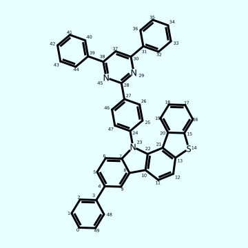 c1ccc(-c2ccc3c(c2)c2ccc4sc5ccccc5c4c2n3-c2ccc(-c3nc(-c4ccccc4)cc(-c4ccccc4)n3)cc2)cc1